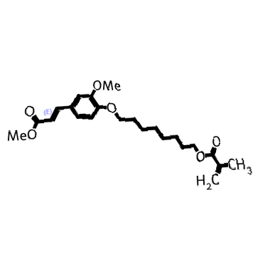 C=C(C)C(=O)OCCCCCCCCOc1ccc(/C=C/C(=O)OC)cc1OC